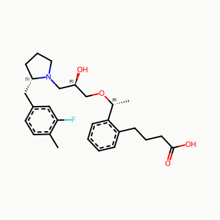 Cc1ccc(C[C@@H]2CCCN2C[C@@H](O)CO[C@H](C)c2ccccc2CCCC(=O)O)cc1F